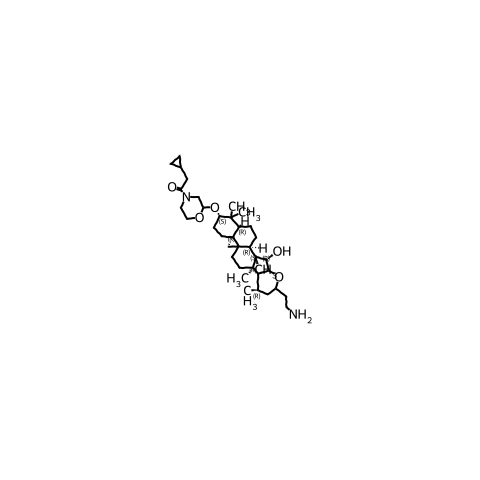 C[C@@H]1CC(CCN)OC2C1[C@@]1(C)CCC34C[C@@]35CC[C@H](OC3CN(C(=O)CC6CC6)CCO3)C(C)(C)[C@@H]5CC[C@H]4[C@]1(C)[C@H]2O